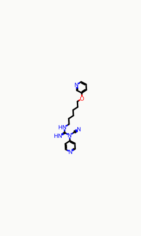 N#CN(C(=N)NCCCCCCOc1cccnc1)c1ccncc1